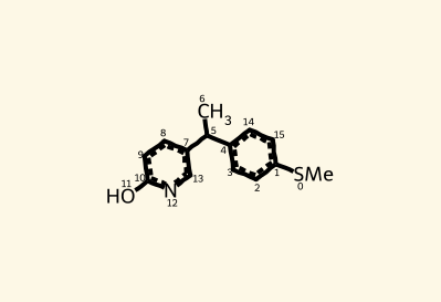 CSc1ccc(C(C)c2ccc(O)nc2)cc1